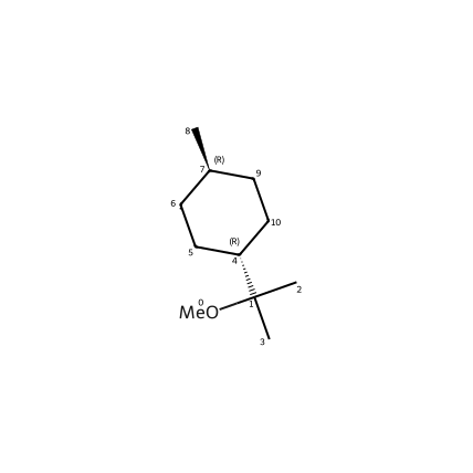 COC(C)(C)[C@@H]1C[CH][C@@H](C)CC1